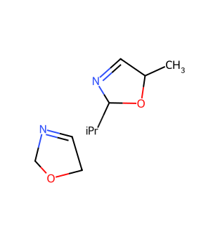 C1=NCOC1.CC1C=NC(C(C)C)O1